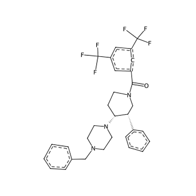 O=C(c1cc(C(F)(F)F)cc(C(F)(F)F)c1)N1CC[C@@H](N2CCN(Cc3ccccc3)CC2)[C@@H](c2ccccc2)C1